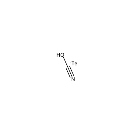 N#CO.[Te]